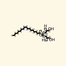 CCCCCCCC/C=C\CCCCCCCC(=O)OB(OCC(O)CO)OCC(O)CO